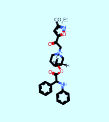 CCOC(=O)c1cc(C(=O)C[N+]23CCC(CC2)[C@@H](OC(=O)C(Nc2ccccc2)c2ccccc2)C3)on1